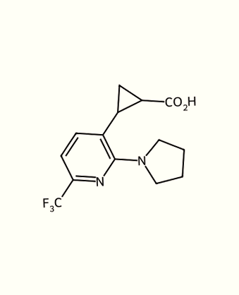 O=C(O)C1CC1c1ccc(C(F)(F)F)nc1N1CCCC1